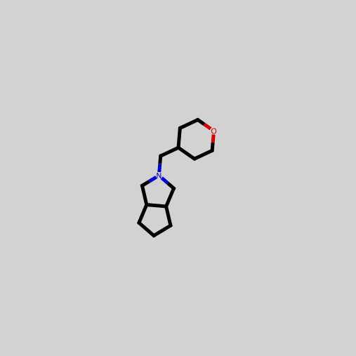 C1CC2CN(CC3CCOCC3)CC2C1